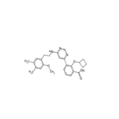 COc1cc(C)c(C)cc1CCNc1cc(-c2cccc(C(=O)O)c2OC2CCC2)ncn1